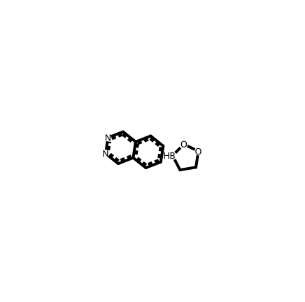 B1CCOO1.c1ccc2cnncc2c1